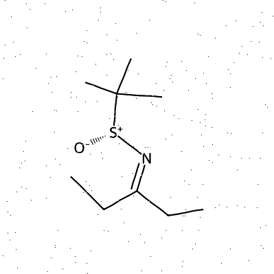 CCC(CC)=N[S@+]([O-])C(C)(C)C